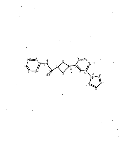 O=C(Nc1cnccn1)C1CN(c2cc(-n3cccn3)ncn2)C1